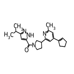 Cc1cc(C2=CCCC2)cc(C2CCN(C(=O)c3cc(C(C)C)n[nH]3)C2)n1